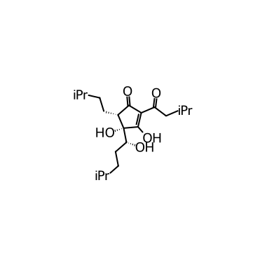 CC(C)CC[C@@H](O)[C@]1(O)C(O)=C(C(=O)CC(C)C)C(=O)[C@H]1CCC(C)C